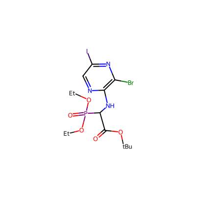 CCOP(=O)(OCC)C(Nc1ncc(I)nc1Br)C(=O)OC(C)(C)C